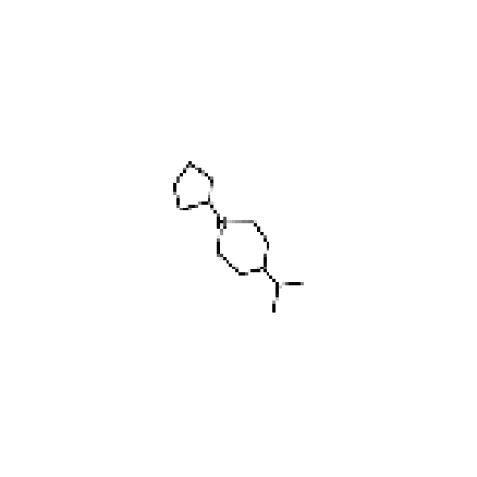 CC(C)C1CCN(C2CCCC2)CC1